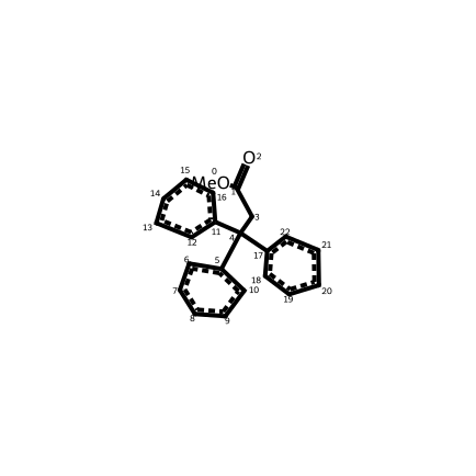 COC(=O)CC(c1ccccc1)(c1ccccc1)c1ccccc1